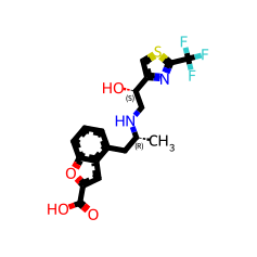 C[C@H](Cc1cccc2oc(C(=O)O)cc12)NC[C@H](O)c1csc(C(F)(F)F)n1